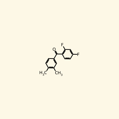 Cc1ccc(C(=O)c2ccc(F)cc2F)cc1C